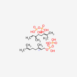 C=CC(=C)CCC=C(C)C.CC(C)=CCC/C(C)=C/COP(=O)(O)OP(=O)(O)O.O=P(O)(O)OP(=O)(O)O